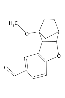 COC12CCC(C1)C1Oc3ccc(C=O)cc3C12